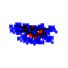 C[C@H](N)C(=O)N[C@@H](CCCNC(=N)N)C(=O)N[C@@H](CCCNC(=N)N)C(=O)N[C@@H](CCCNC(=N)N)C(=O)N[C@@H](CCCNC(=N)N)C(=O)N[C@@H](CCCNC(=N)N)C(=O)N[C@@H](CCC(N)=O)C(=O)N[C@@H](CCCNC(=N)N)C(=O)N[C@@H](CCCNC(=N)N)C(=O)N[C@@H](CCCNC(=N)N)C(N)=O